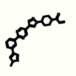 C=CC(=O)N1CCC(n2cc(-c3cnc(-c4cccc(-c5cnn(C)c5)c4)nc3)cn2)CC1